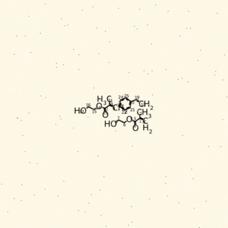 C=C(C)C(=O)OCCO.C=C(C)C(=O)OCCO.C=Cc1ccccc1